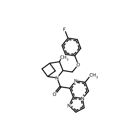 Cc1cn2ccnc2c(C(=O)N2C3CC(C3)C(C)C2COc2ccc(F)cc2)n1